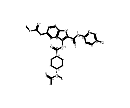 COC(=O)Cc1ccc2oc(C(=O)Nc3ccc(Cl)cn3)c(NC(=O)[C@H]3CC[C@H](N(C)C(C)=O)CC3)c2c1